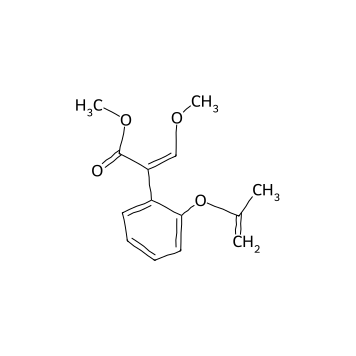 C=C(C)Oc1ccccc1C(=COC)C(=O)OC